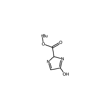 CC(C)(C)OC(=O)C1N=CC(O)=N1